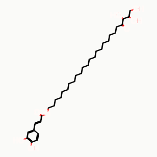 O=C(C=Cc1ccc(O)c(O)c1)OCCCCCCCCCCCCCCCCCCCCCC(=O)C(O)C(O)CO